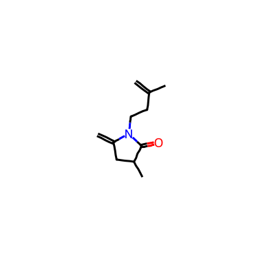 C=C(C)CCN1C(=C)CC(C)C1=O